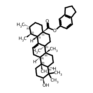 C[C@H]1[C@H](C)CC[C@]2(C(=O)Oc3ccc4c(c3)CCC4)CC[C@]3(C)C(=CC[C@@H]4[C@@]5(C)CC[C@H](O)C(C)(C)[C@@H]5CC[C@]43C)[C@H]12